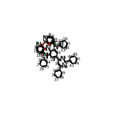 Cc1ccnc2c3nccc(C)c3n(-c3c(N(c4ccccc4)c4ccccc4)cc(-c4cc(-c5ccccc5)nc(-c5ccccc5)n4)cc3N(c3ccccc3)c3ccccc3)c12